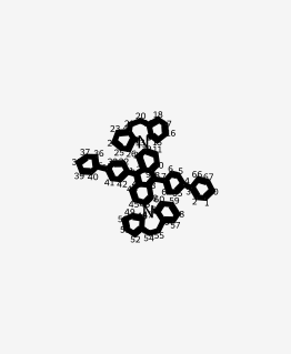 c1ccc(-c2ccc(-c3c4ccc(N5c6ccccc6CCc6ccccc65)cc4c(-c4ccc(-c5ccccc5)cc4)c4ccc(N5c6ccccc6CCc6ccccc65)cc34)cc2)cc1